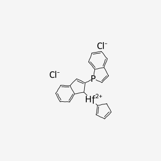 C1=CC[C]([Hf+2][CH]2C(p3ccc4ccccc43)=Cc3ccccc32)=C1.[Cl-].[Cl-]